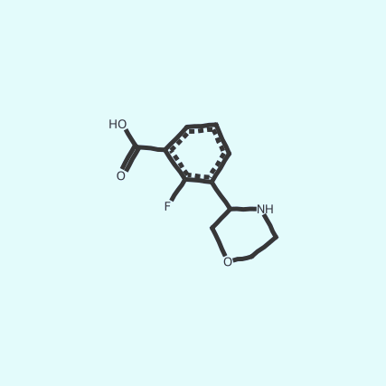 O=C(O)c1cccc(C2COCCN2)c1F